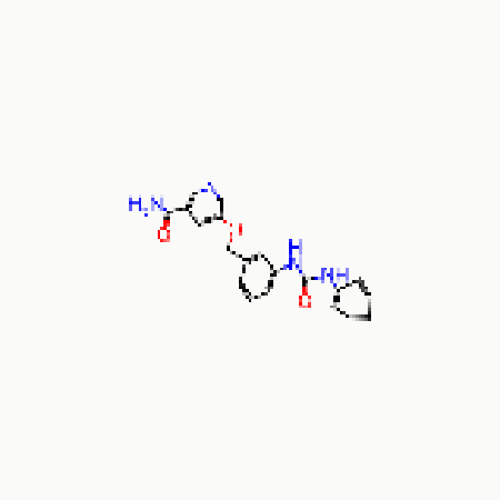 NC(=O)c1cncc(OCc2cccc(NC(=O)Nc3ccccc3)c2)c1